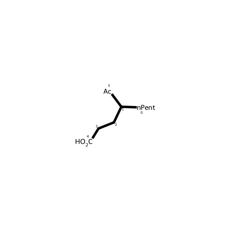 CCCCCC(CCC(=O)O)C(C)=O